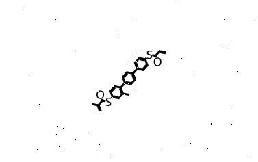 C=CC(=O)Sc1ccc(-c2ccc(-c3ccc(SC(=O)C(=C)C)cc3C)cc2)cc1